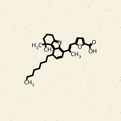 CCCCCCCCC1C=CC(C(C)=Cc2ccc(C(=O)O)o2)=C2N=C3CCCC(C)(C)C3=C21